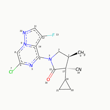 C[C@@H]1CN(c2nc(Cl)cn3ncc(F)c23)C(=O)[C@]1(C#N)C1CC1